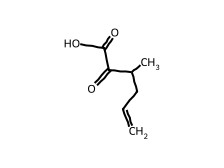 C=CCC(C)C(=O)C(=O)O